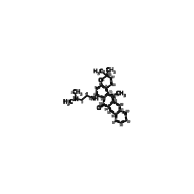 CN(C)CCNc1cc2c(c3c1c(=O)c1cc4ccccc4cc1n3C)C=CC(C)(C)O2